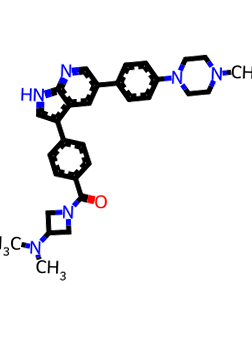 CN1CCN(c2ccc(-c3cnc4[nH]cc(-c5ccc(C(=O)N6CC(N(C)C)C6)cc5)c4c3)cc2)CC1